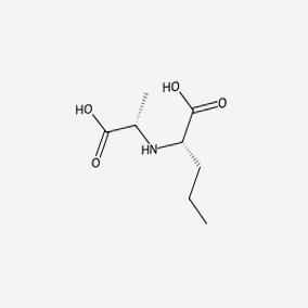 CCC[C@H](N[C@@H](C)C(=O)O)C(=O)O